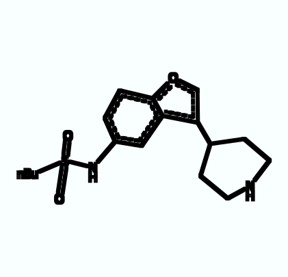 CCCCS(=O)(=O)Nc1ccc2occ(C3CCNCC3)c2c1